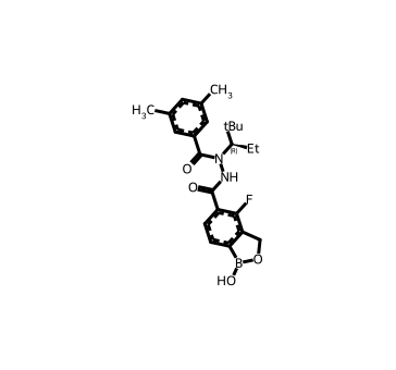 CC[C@@H](N(NC(=O)c1ccc2c(c1F)COB2O)C(=O)c1cc(C)cc(C)c1)C(C)(C)C